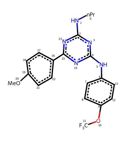 CCCNc1nc(Nc2ccc(OC(F)(F)F)cc2)nc(-c2ccc(OC)cc2)n1